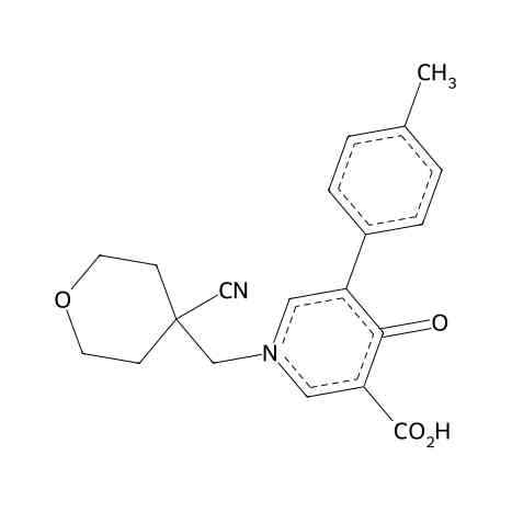 Cc1ccc(-c2cn(CC3(C#N)CCOCC3)cc(C(=O)O)c2=O)cc1